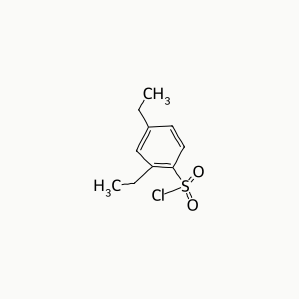 CCc1ccc(S(=O)(=O)Cl)c(CC)c1